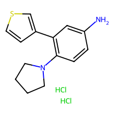 Cl.Cl.Nc1ccc(N2CCCC2)c(-c2ccsc2)c1